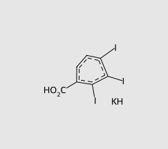 O=C(O)c1ccc(I)c(I)c1I.[KH]